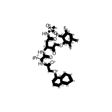 CC(C)[C@@H](NC(=O)COc1cccc2ccccc12)C(=O)NC(CC(=O)NS(C)(=O)=O)C(=O)COc1c(F)c(F)cc(F)c1F